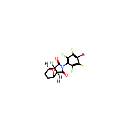 O=C1[C@@H]2[C@H](C(=O)N1c1c(F)c(F)c(Br)c(F)c1F)[C@H]1CC[C@@H]2O1